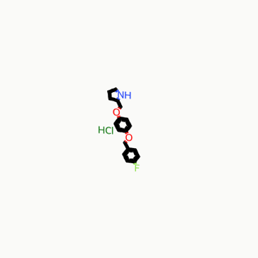 Cl.Fc1ccc(COc2ccc(OCC3CCCN3)cc2)cc1